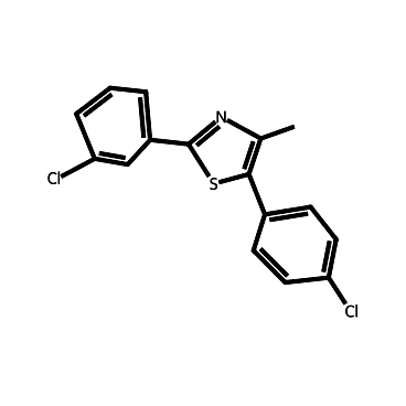 Cc1nc(-c2cccc(Cl)c2)sc1-c1ccc(Cl)cc1